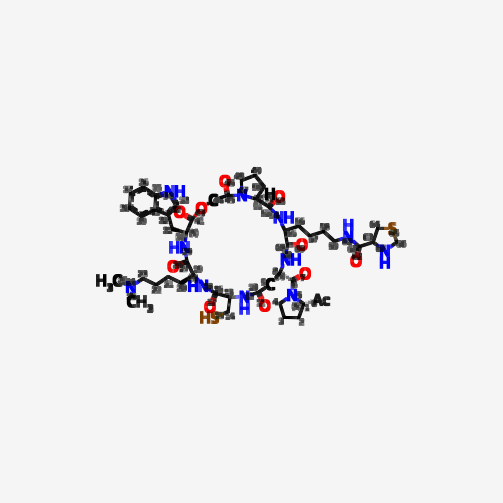 CC(=O)[C@@H]1CCCN1C(=O)[C@@H]1CC(=O)NC(CS)C(=O)N[C@@H](CCCCN(C)C)C(=O)N[C@@H](Cc2c[nH]c3ccccc23)C(=O)OCC(=O)N2CCC[C@H]2C(=O)NC(CCCCNC(=O)C2CSCN2)C(=O)N1